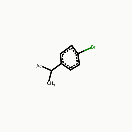 CC(=O)C(C)c1ccc(Br)cc1